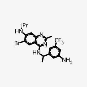 Cc1nc(NC(C)c2cc(N)cc(C(F)(F)F)c2)c2cc(Br)c(NC(C)C)cc2n1